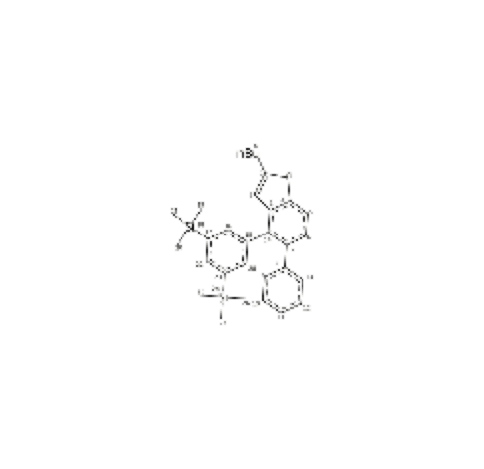 CCCCC1=Cc2c(ccc(-c3ccccc3)c2-c2cc([Si](C)(C)C)cc([Si](C)(C)C)c2)[CH]1